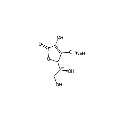 O=C1OC([C@@H](O)CO)C(O)=C1O.[NaH]